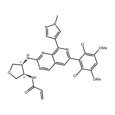 C=CC(=O)N[C@H]1COC[C@H]1Nc1ncc2cc(-c3c(Cl)c(OC)cc(OC)c3Cl)nc(-c3cnn(C)c3)c2n1